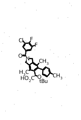 Cc1ccc(-c2c(C)c3c(c(C)c2[C@H](OC(C)(C)C)C(=O)O)CN(C(=O)c2cc(F)c(F)c(Cl)c2)C3)cc1